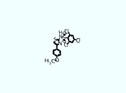 COc1ccc(-c2csc(NS(=O)(=O)c3c(Cl)cc(Cl)cc3Cl)n2)cc1